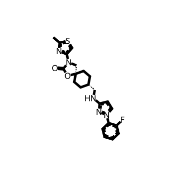 Cc1nc(N2C[C@]3(CC[C@@H](CNc4ccn(-c5ccccc5F)n4)CC3)OC2=O)cs1